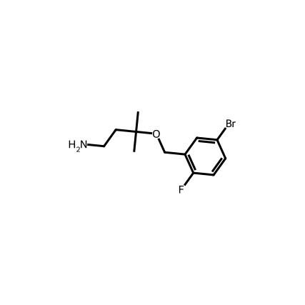 CC(C)(CCN)OCc1cc(Br)ccc1F